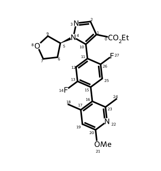 CCOC(=O)c1cnn([C@H]2CCOC2)c1-c1cc(F)c(-c2c(C)cc(OC)nc2C)cc1F